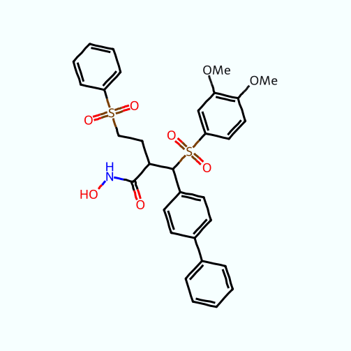 COc1ccc(S(=O)(=O)C(c2ccc(-c3ccccc3)cc2)C(CCS(=O)(=O)c2ccccc2)C(=O)NO)cc1OC